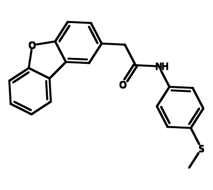 CSc1ccc(NC(=O)Cc2ccc3oc4ccccc4c3c2)cc1